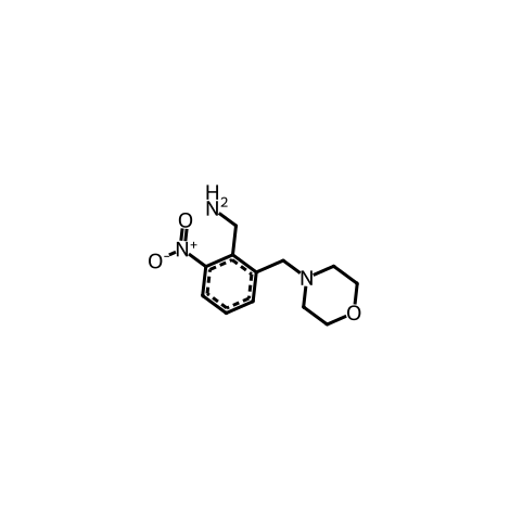 NCc1c(CN2CCOCC2)cccc1[N+](=O)[O-]